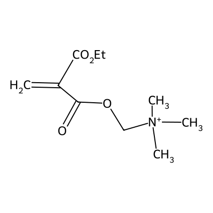 C=C(C(=O)OCC)C(=O)OC[N+](C)(C)C